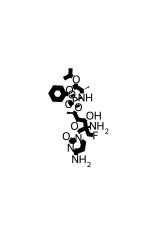 CC(C)OC(=O)[C@H](C)N[P@@](=O)(Oc1ccccc1)O[C@H](C)[C@H]1O[C@@H](n2ccc(N)nc2=O)[C@@](N)(CF)C1O